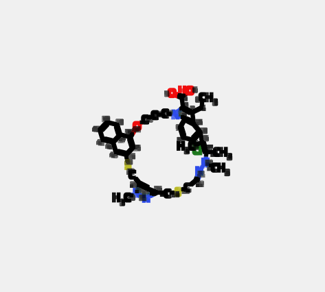 CCc1c(C(=O)O)n2c3ccc(Cl)c(c13)/C(C)=C(\C)N(C)/N=C/CSCc1cc(n(C)n1)CSc1cc(c3ccccc3c1)OCCC2